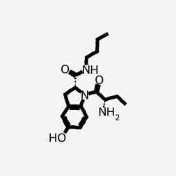 CCCCNC(=O)[C@H]1Cc2cc(O)ccc2N1C(=O)[C@@H](N)CC